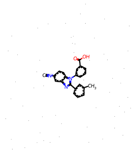 [C-]#[N+]c1ccc2c(c1)nc(-c1cccc(C)c1)n2-c1cccc(C(=O)O)c1